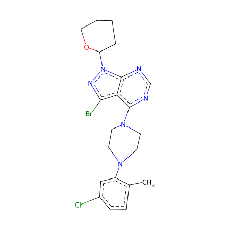 Cc1ccc(Cl)cc1N1CCN(c2ncnc3c2c(Br)nn3C2CCCCO2)CC1